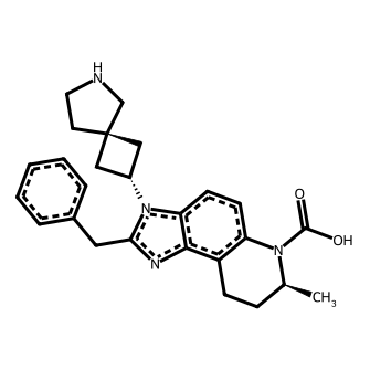 C[C@H]1CCc2c(ccc3c2nc(Cc2ccccc2)n3[C@H]2C[C@]3(CCNC3)C2)N1C(=O)O